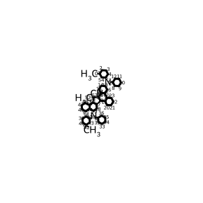 Cc1cccc(N(c2ccccc2)c2ccc3c4c(c5ccccc5c3c2)-c2cc(N(c3ccccc3)c3cccc(C)c3)c3ccccc3c2C4(C)C)c1